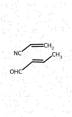 C=CC#N.CC=CC=O